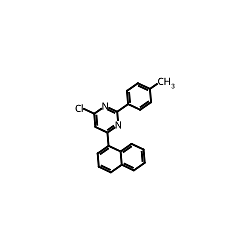 Cc1ccc(-c2nc(Cl)cc(-c3cccc4ccccc34)n2)cc1